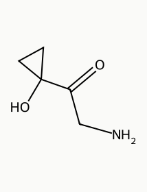 NCC(=O)C1(O)CC1